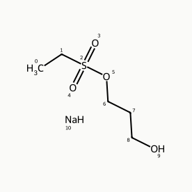 CCS(=O)(=O)OCCCO.[NaH]